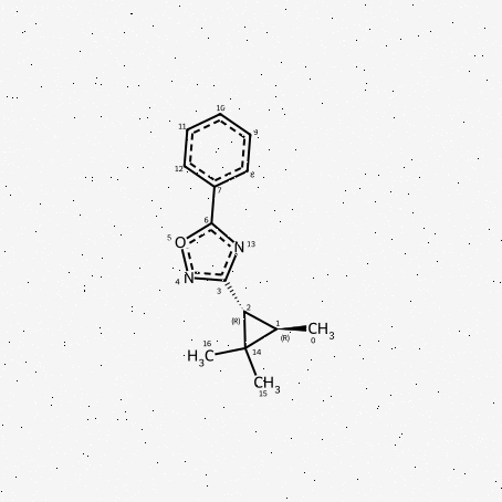 C[C@@H]1[C@@H](c2noc(-c3ccccc3)n2)C1(C)C